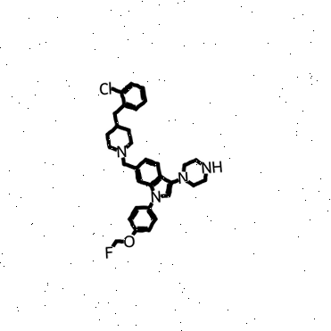 FCOc1ccc(-n2cc(N3CCNCC3)c3ccc(CN4CCC(Cc5ccccc5Cl)CC4)cc32)cc1